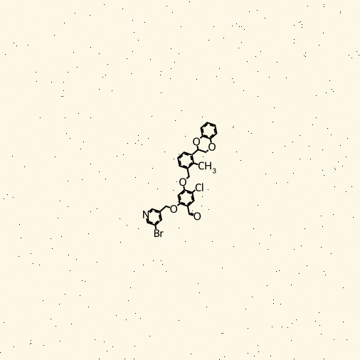 Cc1c(COc2cc(OCc3cncc(Br)c3)c(C=O)cc2Cl)cccc1C1COc2ccccc2O1